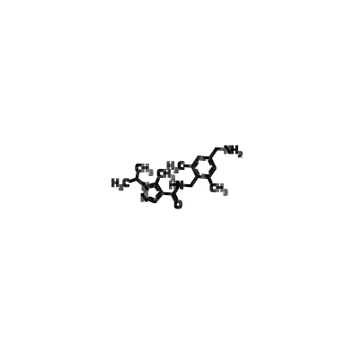 Cc1cc(CN)cc(C)c1CNC(=O)c1cnn(C(C)C)c1C